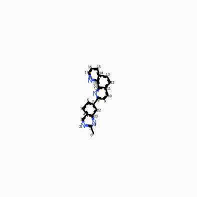 Cc1ncc2ccc(-c3ccc4ccc5cccnc5c4n3)cc2n1